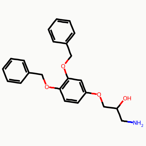 NCC(O)COc1ccc(OCc2ccccc2)c(OCc2ccccc2)c1